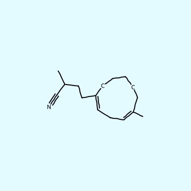 C/C1=C/C/C=C(/CCC(C)C#N)CCCCC1